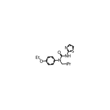 CCOc1ccc(N(CC(C)C)C(=O)Nc2nccs2)cc1